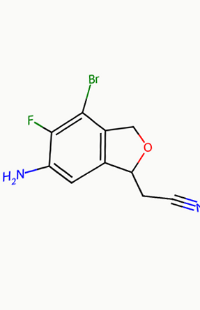 N#CCC1OCc2c1cc(N)c(F)c2Br